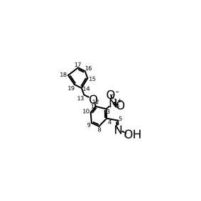 O=[N+]([O-])c1c(/C=N/O)cccc1OCc1ccccc1